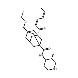 C=C(/C=C\C=C/C)[C@]12CC3CC(C(=O)N[C@@H]4CCNC[C@@H]4F)(C[C@](COCC)(C3)C1)C2